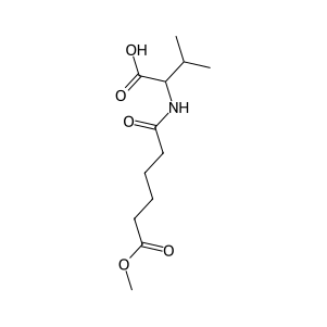 COC(=O)CCCCC(=O)NC(C(=O)O)C(C)C